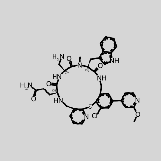 COc1cc(-c2cc(Cl)c3c(c2)CNC(=O)[C@H](Cc2c[nH]c4ccccc24)N(C)C(=O)[C@H](CN)NC(=O)[C@H](CCC(N)=O)NCc2cccnc2S3)ccn1